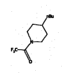 CCCCC1CCN(C(=O)C(F)(F)F)CC1